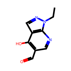 CCn1ncc2c(O)c(C=O)cnc21